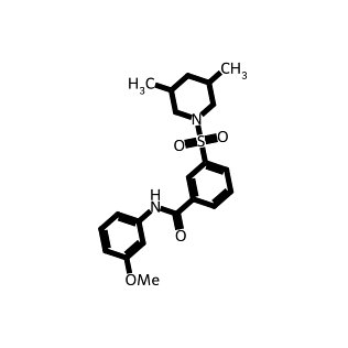 COc1cccc(NC(=O)c2cccc(S(=O)(=O)N3CC(C)CC(C)C3)c2)c1